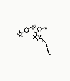 COCC#CC#CCOCC(=O)N[C@H](C(=O)N1C[C@H](O)C[C@H]1C(=O)NCc1ccc(-c2scnc2C)cc1)C(C)(C)C